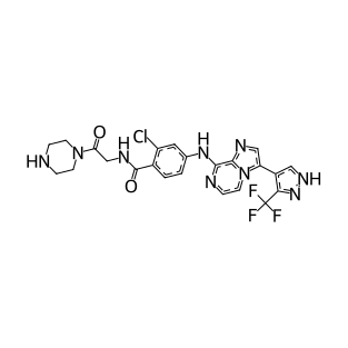 O=C(NCC(=O)N1CCNCC1)c1ccc(Nc2nccn3c(-c4c[nH]nc4C(F)(F)F)cnc23)cc1Cl